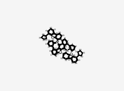 c1ccc2c(c1)-c1cccc3c1c(c1oc4cccc5c6ccccc6n(-c6cccc7c6oc6c(C8CCCC8)cccc67)c3c1c45)N2c1cccc2c1oc1c(C3CCCC3)cccc12